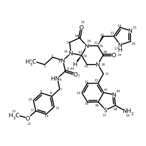 CCCN(C(=O)NCc1ccc(OC)cc1)N1CC(=O)N2[C@@H](Cc3cnc[nH]3)C(=O)N(Cc3cccc4sc(N)nc34)C[C@@H]21